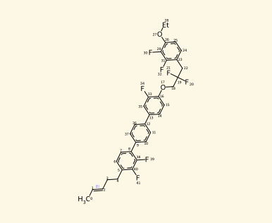 C/C=C/CCc1ccc(-c2ccc(-c3ccc(OCC(F)(F)Cc4ccc(OCC)c(F)c4F)c(F)c3)cc2)c(F)c1F